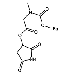 CN(CC(=O)OC1CC(=O)NC1=O)C(=O)OC(C)(C)C